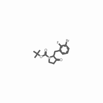 CC(C)(C)OC(=O)N1CCC(=O)C1Cc1cccc(Br)c1F